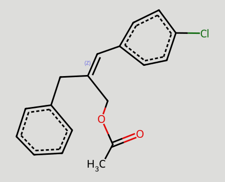 CC(=O)OC/C(=C\c1ccc(Cl)cc1)Cc1ccccc1